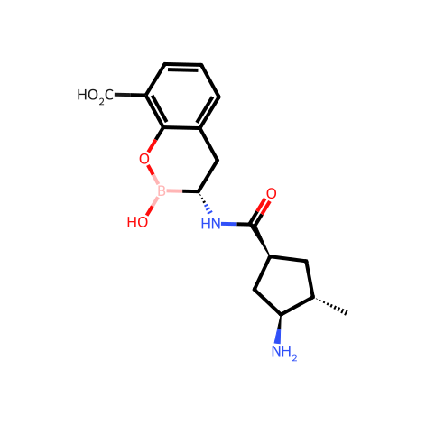 C[C@H]1C[C@H](C(=O)N[C@H]2Cc3cccc(C(=O)O)c3OB2O)C[C@@H]1N